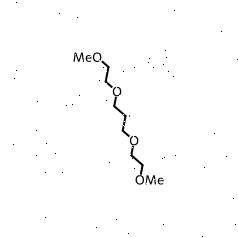 COCCOC[CH]COCCOC